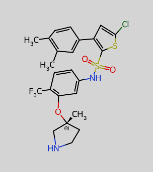 Cc1ccc(-c2cc(Cl)sc2S(=O)(=O)Nc2ccc(C(F)(F)F)c(O[C@]3(C)CCNC3)c2)cc1C